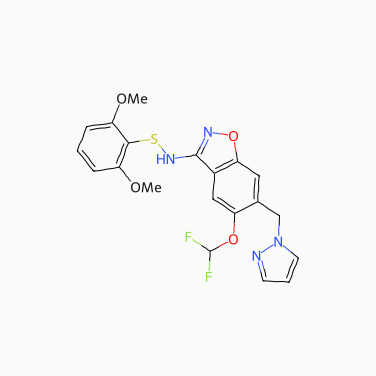 COc1cccc(OC)c1SNc1noc2cc(Cn3cccn3)c(OC(F)F)cc12